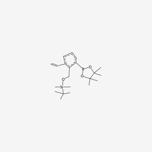 C=Cc1cccc(B2OC(C)(C)C(C)(C)O2)c1CO[Si](C)(C)C(C)(C)C